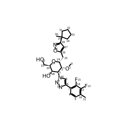 CO[C@@H]1[C@@H](n2cc(-c3ccc(C)c(F)c3F)nn2)[C@@H](O)[C@@H](CO)O[C@@H]1Cc1cc(C2(C)CCCC2)no1